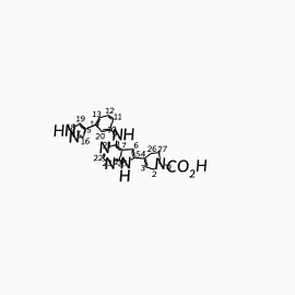 O=C(O)N1CC=C(c2cc3c(Nc4cccc(-c5cn[nH]c5)c4)ncnc3[nH]2)CC1